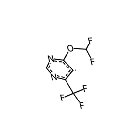 FC(F)Oc1[c]c(C(F)(F)F)ncn1